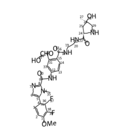 COc1ccc(-c2cnc(C(=O)Nc3ccc(C(=O)NCCNC(=O)[C@H]4C[C@@](C)(O)CN4)c(C)c3)n2C)c(F)c1F.O=CO